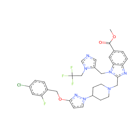 COC(=O)c1ccc2nc(CN3CCC(n4ccc(OCc5ccc(Cl)cc5F)n4)CC3)n(Cc3cncn3CC(F)(F)F)c2c1